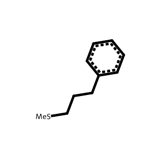 [CH]SCCCc1ccccc1